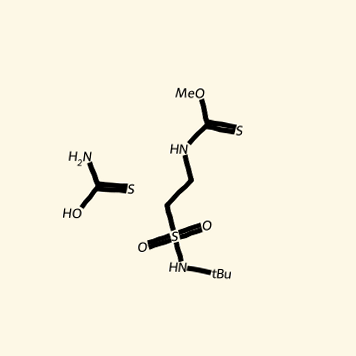 COC(=S)NCCS(=O)(=O)NC(C)(C)C.NC(O)=S